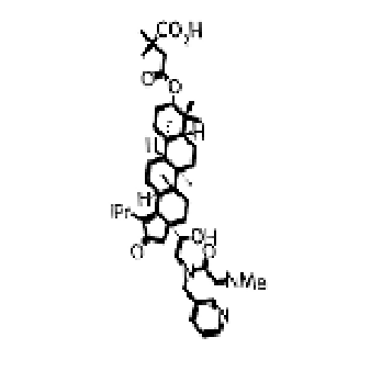 CNCC(=O)N(Cc1cccnc1)CC(O)[C@@]12CC[C@]3(C)[C@H](CC[C@@H]4[C@@]5(C)CC[C@H](OC(=O)CC(C)(C)C(=O)O)C(C)(C)[C@@H]5CC[C@]43C)C1=C(C(C)C)C(=O)C2